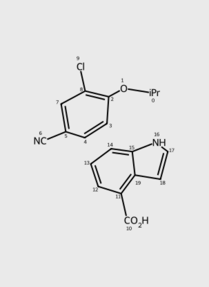 CC(C)Oc1ccc(C#N)cc1Cl.O=C(O)c1cccc2[nH]ccc12